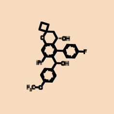 CC(C)c1cc2c(c(-c3ccc(F)cc3)c1C(O)c1ccc(OC(F)(F)F)cc1)[C@@H](O)CC1(CCC1)O2